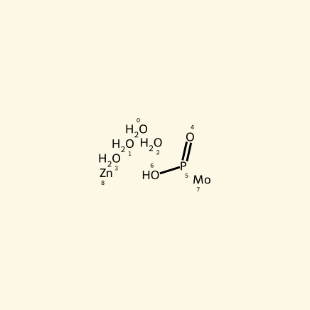 O.O.O.O.O=PO.[Mo].[Zn]